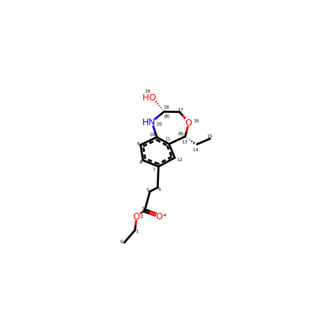 CCOC(=O)CCc1ccc2c(c1)[C@@H](CC)OC[C@@H](O)N2